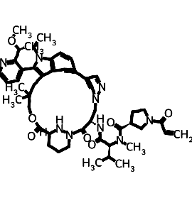 C=CC(=O)N1CC[C@H](C(=O)N(C)[C@H](C(=O)N[C@H]2Cn3cc(cn3)-c3ccc4c(c3)c(c(-c3cccnc3[C@H](C)OC)n4CC)CC(C)(C)COC(=O)[C@@H]3CCCN(N3)C2=O)C(C)C)C1